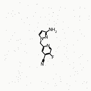 N#Cc1cc(Cn2ccc(N)n2)ncc1F